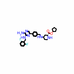 Nc1ncc(-c2ccc(CNC3CCN[C@@H](C(=O)OC4CCCC4)C3)cc2)nc1NCc1c(F)cccc1F